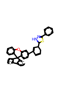 C1=CC(c2ccc3c(c2)Oc2ccccc2C32c3ccccc3-c3ccccc32)=CC(C2NN=C(c3ccccc3)S2)C1